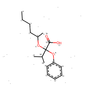 CCCCC(C)OC(Oc1ccccc1)(C(=O)O)C(C)C